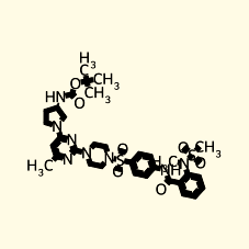 Cc1cc(N2CC[C@H](NC(=O)OC(C)(C)C)C2)nc(N2CCN(S(=O)(=O)c3ccc(NC(=O)c4ccccc4N(C)S(C)(=O)=O)cc3)CC2)n1